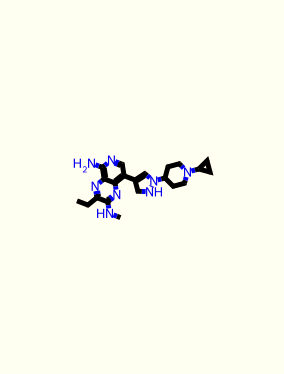 CCc1nc2c(N)ncc(C3=CN(C4CCN(C5CC5)CC4)NC3)c2nc1NC